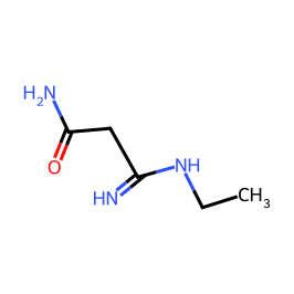 CCNC(=N)CC(N)=O